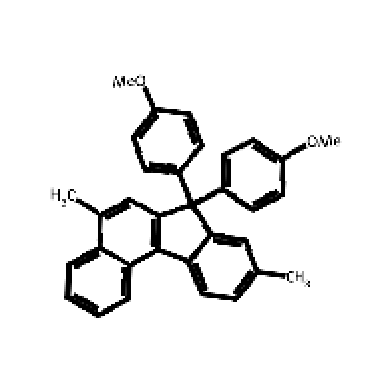 COc1ccc(C2(c3ccc(OC)cc3)c3cc(C)ccc3-c3c2cc(C)c2ccccc32)cc1